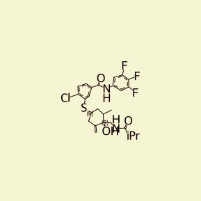 C=C1C[C@H](Sc2cc(C(=O)Nc3cc(F)c(F)c(F)c3)ccc2Cl)CC(C)[C@]1(O)CNC(=O)C(C)C